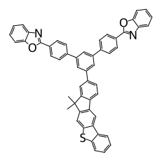 CC1(C)c2cc(-c3cc(-c4ccc(-c5nc6ccccc6o5)cc4)cc(-c4ccc(-c5nc6ccccc6o5)cc4)c3)ccc2-c2cc3c(cc21)sc1ccccc13